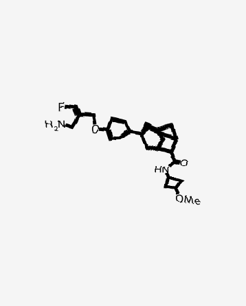 COC1CC(NC(=O)C2C3CC4CC2CC(c2ccc(OC/C(=C/F)CN)cc2)(C4)C3)C1